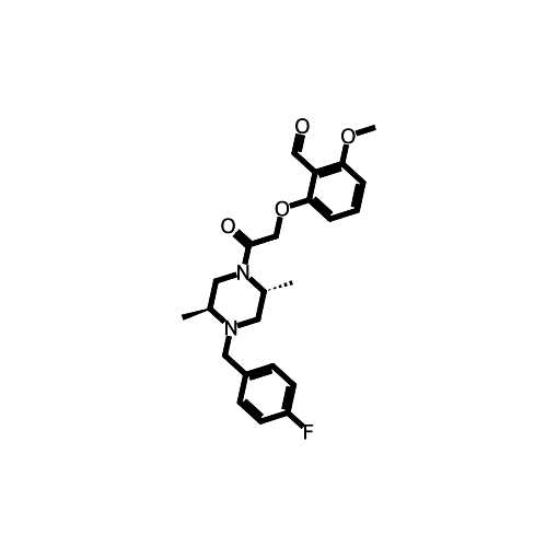 COc1cccc(OCC(=O)N2C[C@H](C)N(Cc3ccc(F)cc3)C[C@H]2C)c1C=O